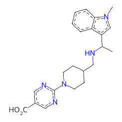 CC(NCC1CCN(c2ncc(C(=O)O)cn2)CC1)c1cn(C)c2ccccc12